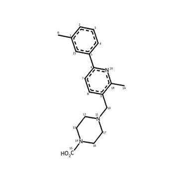 Cc1cccc(-c2ccc(CN3CCN(C(=O)O)CC3)c(C)n2)c1